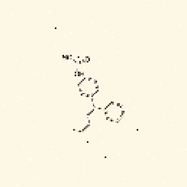 C/C=C\C=C(c1ccccc1)c1ccccc1.O=C(O)O